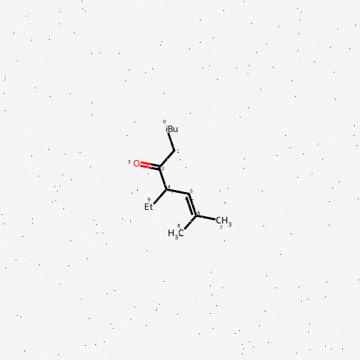 CCC(C)CC(=O)C(C=C(C)C)CC